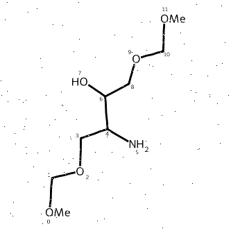 COCOCC(N)C(O)COCOC